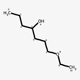 CCCC(O)CCCOCC